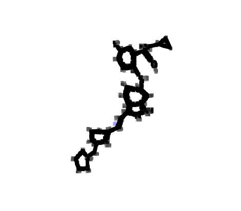 O=C(NC1CC1)c1cc(F)ccc1Sc1ccc2c(/C=C/c3cccc(CN4CCCC4)n3)n[nH]c2c1